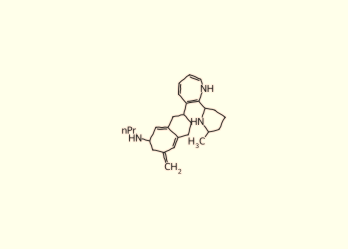 C=C1C=C2CCC(C3=C(C4CCCC(C)N4)NC=CC=C3)CC2=CC(NCCC)C1